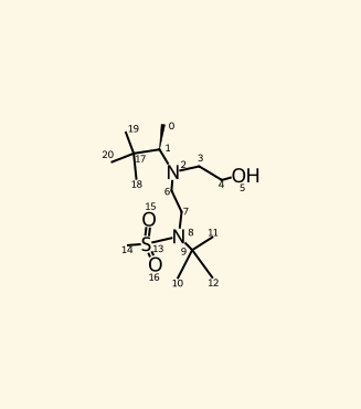 C[C@@H](N(CCO)CCN(C(C)(C)C)S(C)(=O)=O)C(C)(C)C